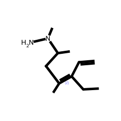 C=C/C(CC)=C(/C)CC(C)N(C)N